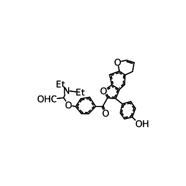 CCN(CC)C(C=O)Oc1ccc(C(=O)c2oc3cc4c(cc3c2-c2ccc(O)cc2)CC=CO4)cc1